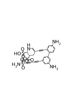 Nc1cc(C#CC#CS(N)(=O)=O)cc(-c2ccc(N)cc2C#CC2=CN[C@H](S(=O)(=O)O)[C@H](S(=O)(=O)O)C2)c1